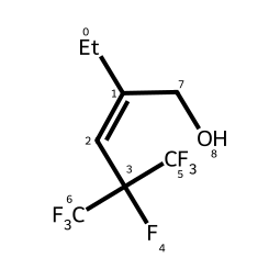 CCC(=CC(F)(C(F)(F)F)C(F)(F)F)CO